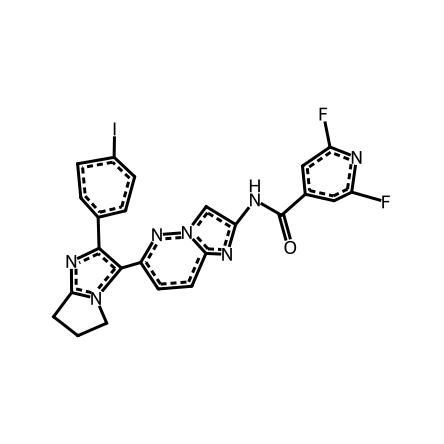 O=C(Nc1cn2nc(-c3c(-c4ccc(I)cc4)nc4n3CCC4)ccc2n1)c1cc(F)nc(F)c1